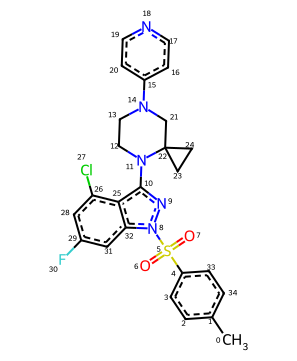 Cc1ccc(S(=O)(=O)n2nc(N3CCN(c4ccncc4)CC34CC4)c3c(Cl)cc(F)cc32)cc1